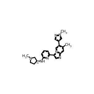 Cc1cc2ncc(-c3cccc(N[C@H]4CCN(C)C4)n3)n2cc1-c1cnn(C)c1